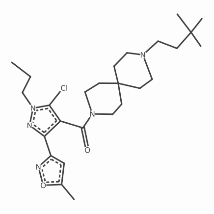 CCCn1nc(-c2cc(C)on2)c(C(=O)N2CCC3(CCN(CCC(C)(C)C)CC3)CC2)c1Cl